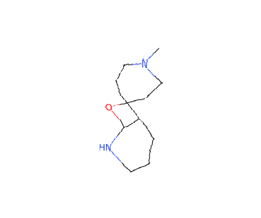 CN1CCC2(CC1)OC1NCCCC12